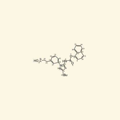 CC(C)(C)c1cc(NC(=O)Oc2cccc3ccccc23)n(-c2cccc(CCC(=O)O)c2)n1